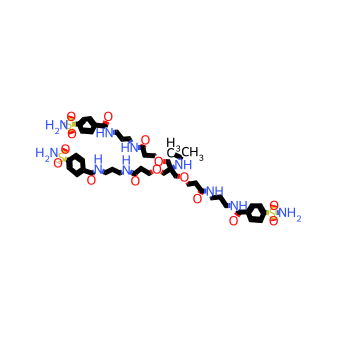 CC(C)NC(COCCC(=O)NCCCNC(=O)c1ccc(S(N)(=O)=O)cc1)(COCCC(=O)NCCCNC(=O)c1ccc(S(N)(=O)=O)cc1)COCCC(=O)NCCCNC(=O)c1ccc(S(N)(=O)=O)cc1